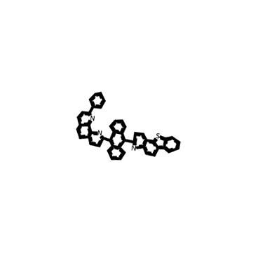 c1ccc(-c2ccc3ccc4ccc(-c5c6ccccc6c(-c6ccc7c(ccc8c9ccccc9sc78)n6)c6ccccc56)nc4c3n2)cc1